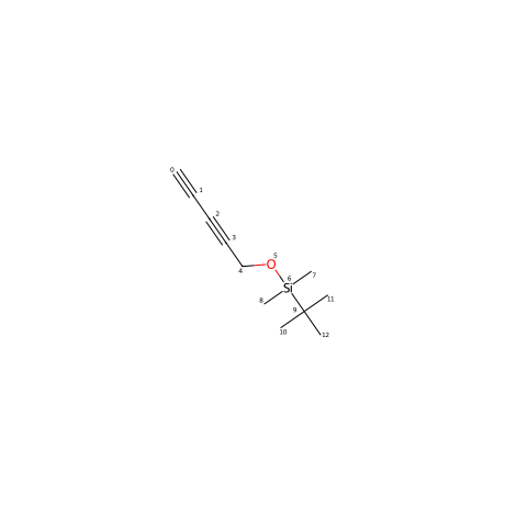 C#CC#CCO[Si](C)(C)C(C)(C)C